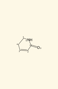 O=C1[C]=CCCN1